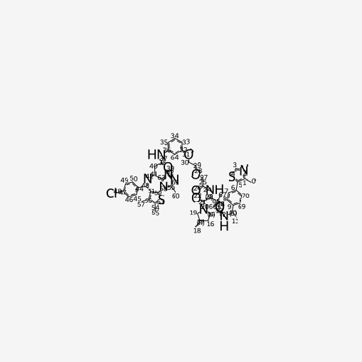 Cc1ncsc1-c1ccc([C@H](C)NC(=O)[C@@H]2C[C@@H](C)CN2C(=O)[C@@H](NC(=O)COCCOc2cccc(NC(=O)CC3N=C(c4ccc(Cl)cc4)c4c(sc(C)c4C)-n4c(C)nnc43)c2)C(C)(C)C)cc1